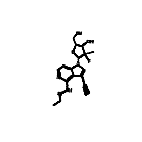 C#Cc1cn([C@@H]2OC(CO)C(O)[C@@]2(C)F)c2ncnc(NOCC)c12